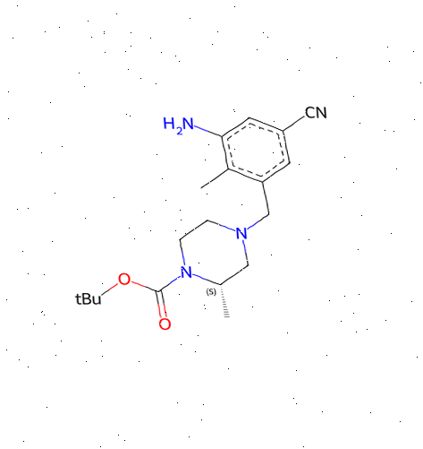 Cc1c(N)cc(C#N)cc1CN1CCN(C(=O)OC(C)(C)C)[C@@H](C)C1